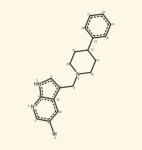 Brc1cnc2[nH]cc(CN3CCC(c4ccccc4)CC3)c2c1